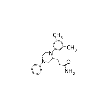 Cc1cc(C)cc(N2CCN(c3ccccc3)CC2CCC(N)=O)c1